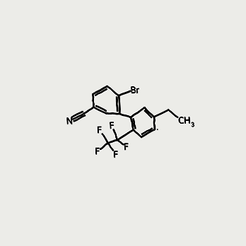 CCc1[c]cc(C(F)(F)C(F)(F)F)c(-c2cc(C#N)ccc2Br)c1